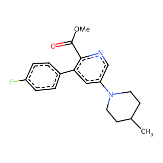 COC(=O)c1ncc(N2CCC(C)CC2)cc1-c1ccc(F)cc1